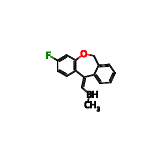 CB/C=C1\c2ccccc2COc2cc(F)ccc21